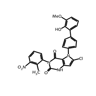 COc1cccc(-c2ccc(-n3c(Cl)cc4[nH]c(=O)n(-c5cccc([N+](=O)[O-])c5C)c(=O)c43)cc2)c1O